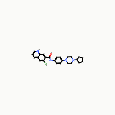 O=C(Nc1ccc(N2CCN(C3CCCC3)CC2)cc1)c1cc2ncccc2cc1Cl